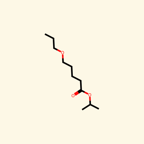 CCCOCCCCC(=O)OC(C)C